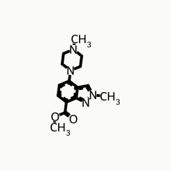 COC(=O)c1ccc(N2CCN(C)CC2)c2cn(C)nc12